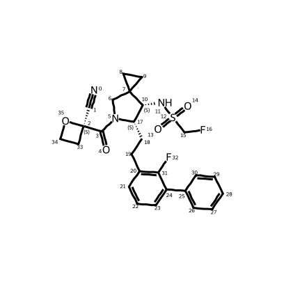 N#C[C@]1(C(=O)N2CC3(CC3)[C@H](NS(=O)(=O)CF)[C@@H]2CCc2cccc(-c3ccccc3)c2F)CCO1